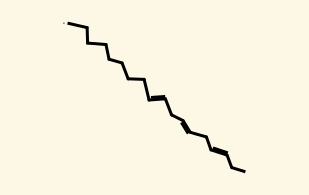 [CH2]CCCCCCCC=CCC=CCC=CCC